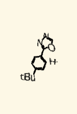 CC(C)(C)c1ccc(-c2nnco2)cc1.[H]